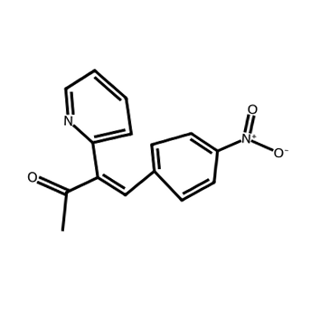 CC(=O)/C(=C/c1ccc([N+](=O)[O-])cc1)c1ccccn1